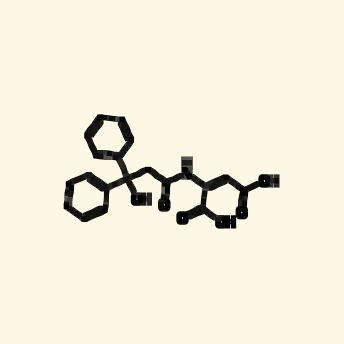 O=C(O)/C=C(/NC(=O)CC(O)(c1ccccc1)c1ccccc1)C(=O)O